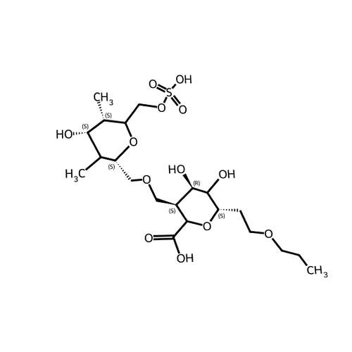 CCCOCC[C@@H]1OC(C(=O)O)[C@@H](COC[C@H]2OC(COS(=O)(=O)O)[C@@H](C)[C@@H](O)C2C)[C@@H](O)C1O